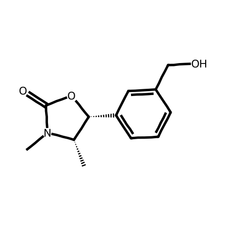 C[C@H]1[C@@H](c2cccc(CO)c2)OC(=O)N1C